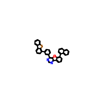 c1cc(-c2ncnc3c2oc2c(-c4cccc5ccccc45)cccc23)cc(-c2cccc3c2sc2ccccc23)c1